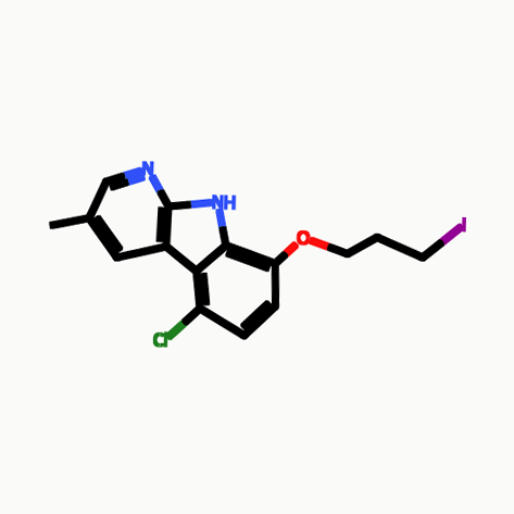 Cc1cnc2[nH]c3c(OCCCI)ccc(Cl)c3c2c1